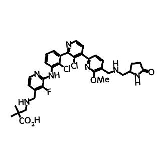 COc1nc(-c2ccnc(-c3cccc(Nc4nccc(CNCC(C)(C)C(=O)O)c4F)c3Cl)c2Cl)ccc1CNCC1CCC(=O)N1